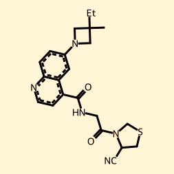 CCC1(C)CN(c2ccc3nccc(C(=O)NCC(=O)N4CSCC4C#N)c3c2)C1